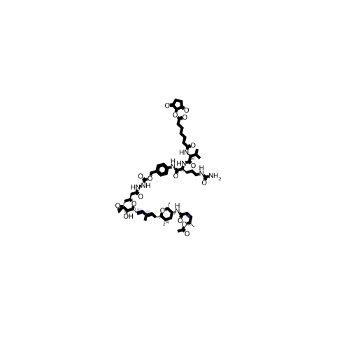 CC(=O)O[C@@H](C)/C=C\C(=O)N[C@@H]1C[C@H](C)[C@H](C/C=C(C)/C=C/[C@H]2O[C@H](CC(=O)NNC(=O)OCc3ccc(NC(=O)[C@H](CCCNC(N)=O)NC(=O)[C@@H](NC(=O)CCCCCC(=O)OC4C(=O)CCC4=O)C(C)C)cc3)C[C@@]3(CO3)[C@@H]2O)O[C@@H]1C